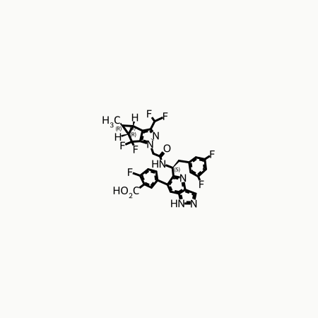 C[C@@H]1[C@@H]2c3c(C(F)F)nn(CC(=O)N[C@@H](Cc4cc(F)cc(F)c4)c4nc5cn[nH]c5cc4-c4ccc(F)c(C(=O)O)c4)c3C(F)(F)[C@H]12